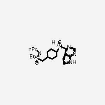 CCCN=S(=O)(CC)CC1CCC(N(C)c2ncnc3[nH]ccc23)CC1